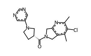 Cc1nc2c(c(C)c1Cl)CN(C(=O)[C@@H]1CCN(c3cncnc3)C1)C2